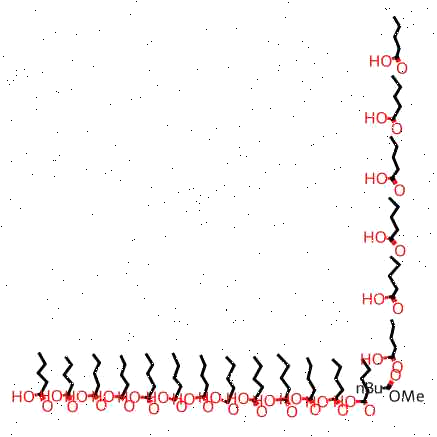 CCCCC(=O)O.CCCCC(=O)O.CCCCC(=O)O.CCCCC(=O)O.CCCCC(=O)O.CCCCC(=O)O.CCCCC(=O)O.CCCCC(=O)O.CCCCC(=O)O.CCCCC(=O)O.CCCCC(=O)O.CCCCC(=O)O.CCCCC(=O)O.CCCCC(=O)O.CCCCC(=O)O.CCCCC(=O)O.CCCCC(=O)O.CCCCC(=O)O.CCCCC(=O)O.CCCCC(=O)OC